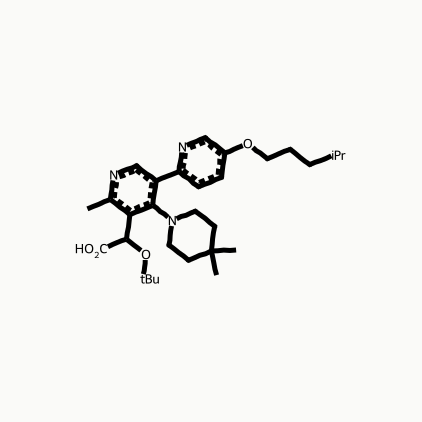 Cc1ncc(-c2ccc(OCCCC(C)C)cn2)c(N2CCC(C)(C)CC2)c1C(OC(C)(C)C)C(=O)O